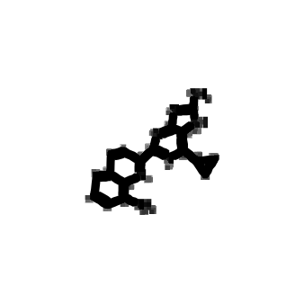 Nc1nc2nc(-c3ccc4cccc(N)c4n3)nc(C3CC3)c2[nH]1